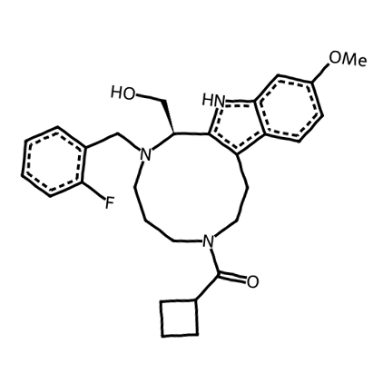 COc1ccc2c3c([nH]c2c1)[C@H](CO)N(Cc1ccccc1F)CCCN(C(=O)C1CCC1)CC3